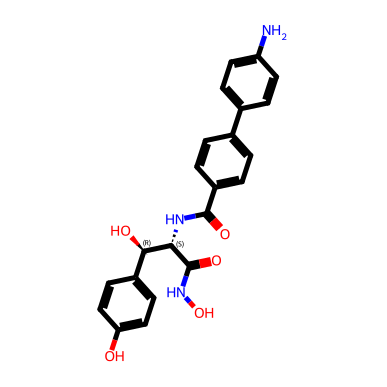 Nc1ccc(-c2ccc(C(=O)N[C@H](C(=O)NO)[C@H](O)c3ccc(O)cc3)cc2)cc1